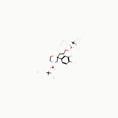 CC(C)(C)OC(=O)N1CCOC(CCCO[Si](C)(C)C(C)(C)C)(c2ccc(Cl)c(Cl)c2)C1